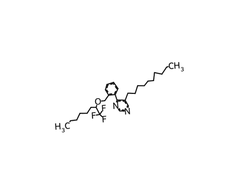 CCCCCCCCCCc1cncnc1-c1ccccc1COC(CCCCCC)C(F)(F)F